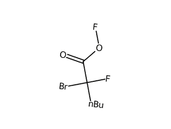 CCCCC(F)(Br)C(=O)OF